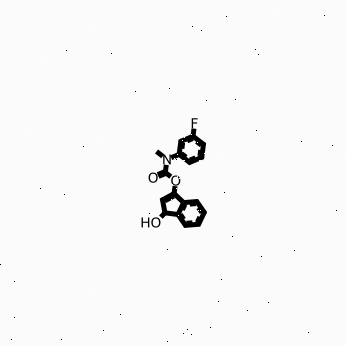 CN(C(=O)OC1=CC(O)c2ccccc21)c1cccc(F)c1